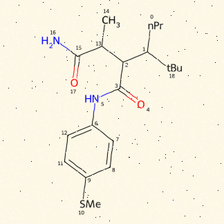 CCCC(C(C(=O)Nc1ccc(SC)cc1)C(C)C(N)=O)C(C)(C)C